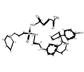 O=C(O)C=CC(=O)O.O=S(=O)(CCCN1CCCCC1)NCCOc1ccc2c(c1)C(C1(c3ccc(Cl)cc3)CCC1)NCC2